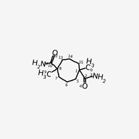 CC1(C(N)=O)CCCC(C)(C(N)=O)CCC1